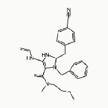 C=CNC1=C(C(=C)N(C)CCCC)N(Cc2ccccc2)C(Cc2ccc(C#N)cc2)N1